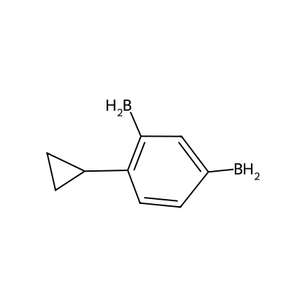 Bc1ccc(C2CC2)c(B)c1